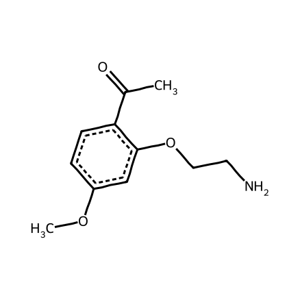 COc1ccc(C(C)=O)c(OCCN)c1